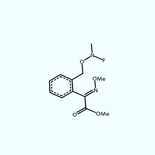 CO/N=C(/C(=O)OC)c1ccccc1CON(C)F